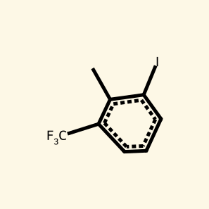 Cc1c(I)cccc1C(F)(F)F